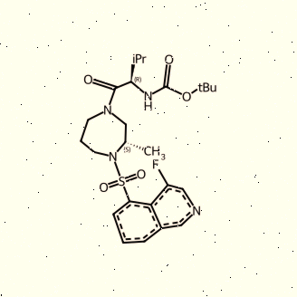 CC(C)[C@@H](NC(=O)OC(C)(C)C)C(=O)N1CCCN(S(=O)(=O)c2cccc3cncc(F)c23)[C@@H](C)C1